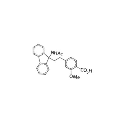 COc1cc(CCC2(NC(C)=O)c3ccccc3-c3ccccc32)ccc1C(=O)O